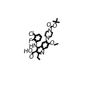 CCOc1cc2nc(CC)c(C(=O)O)c(Nc3cccc(Cl)c3F)c2cc1N1CCN(C(=O)OC(C)(C)C)CC1